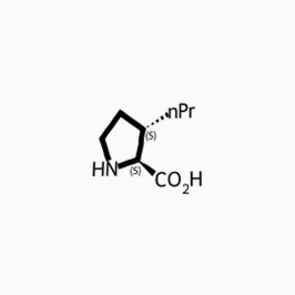 CCC[C@H]1CCN[C@@H]1C(=O)O